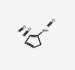 [C]=O.[C]=O.[C]=O.[Mn][C]1=CC=CC1